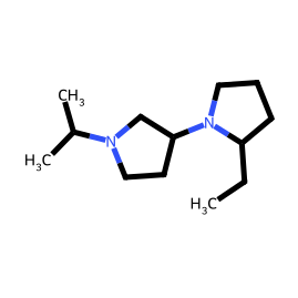 CCC1CCCN1C1CCN(C(C)C)C1